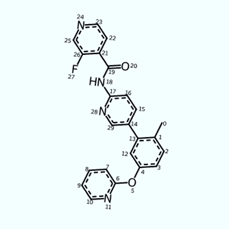 Cc1ccc(Oc2ccccn2)cc1-c1ccc(NC(=O)c2ccncc2F)nc1